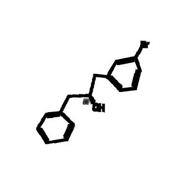 O[C@@H](Cc1ccccc1)Cc1cccc(Br)c1